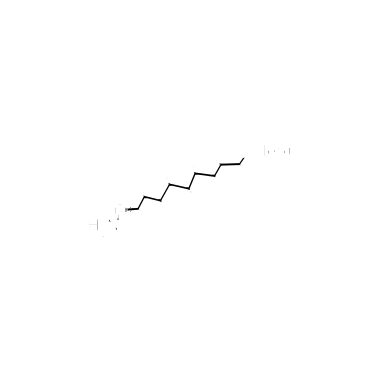 CCCCCCCCCCCCCCC[CH]ON